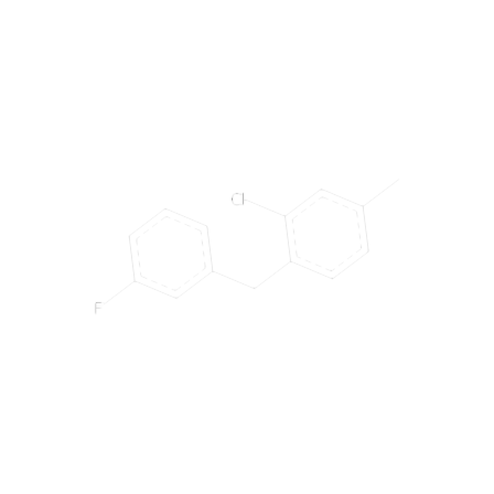 Cc1ccc(Cc2cccc(F)c2)c(Cl)c1